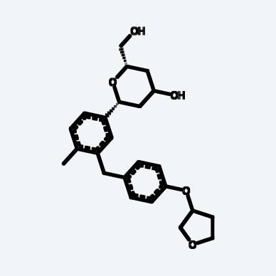 Cc1ccc([C@H]2CC(O)C[C@@H](CO)O2)cc1Cc1ccc(OC2CCOC2)cc1